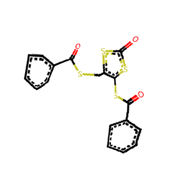 O=C(Sc1sc(=O)sc1SC(=O)c1ccccc1)c1ccccc1